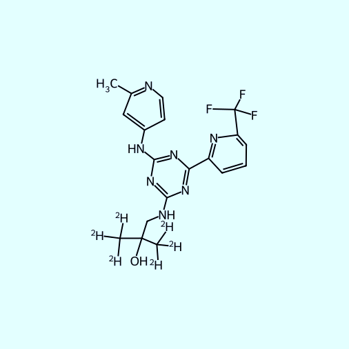 [2H]C([2H])([2H])C(O)(CNc1nc(Nc2ccnc(C)c2)nc(-c2cccc(C(F)(F)F)n2)n1)C([2H])([2H])[2H]